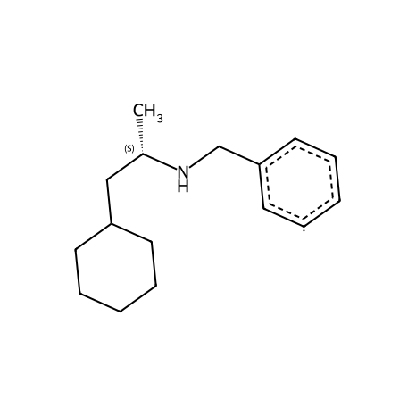 C[C@@H](CC1CCCCC1)NCc1c[c]ccc1